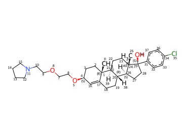 C[C@]12CC[C@H](OCCOCCN3CCCC3)C=C1CC[C@@H]1[C@@H]2CC[C@@]2(C)[C@H]1CC[C@@]2(O)c1ccc(Cl)cc1